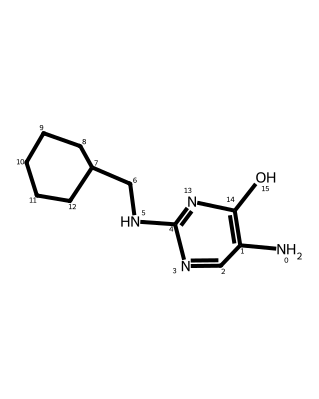 Nc1cnc(NCC2CCCCC2)nc1O